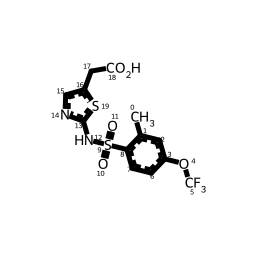 Cc1cc(OC(F)(F)F)ccc1S(=O)(=O)Nc1ncc(CC(=O)O)s1